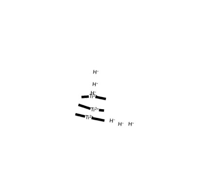 [CH3][Ti+2][CH3].[CH3][Ti+2][CH3].[CH3][Ti+2][CH3].[H-].[H-].[H-].[H-].[H-].[H-]